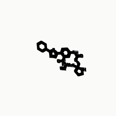 CSC1(COC(=O)Nc2ccc(-c3cnc(C4CCCCC4)s3)c([S+]([O-])NC(C)(C)C)c2)CCCN1